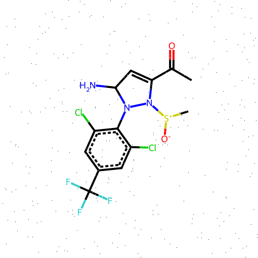 CC(=O)C1=CC(N)N(c2c(Cl)cc(C(F)(F)F)cc2Cl)N1[S+](C)[O-]